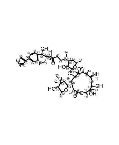 CO[C@]1(C)C[C@@H](C)C(=N)[C@H](C)[C@@H](O)[C@](C)(O)[C@@H](I)OC(=O)[C@H](C)C([C@H]2C[C@@](C)(OC)[C@@H](O)[C@H](C)O2)[C@H](C)[C@H]1O[C@@H]1O[C@H](C)C[C@H](N(C)CCC(=O)N[C@H](CF)[C@H](O)c2ccc(-c3cnoc3)cc2)[C@H]1O